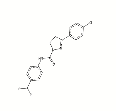 O=C(Nc1ccc(C(F)F)cc1)N1CCC(c2ccc(Cl)cc2)=N1